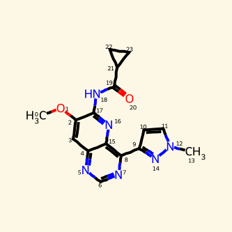 COc1cc2ncnc(-c3ccn(C)n3)c2nc1NC(=O)C1CC1